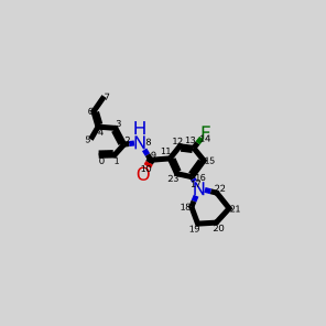 C=C/C(=C\C(C)=C/C)NC(=O)c1cc(F)cc(N2CCCCC2)c1